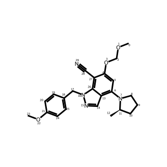 COCOc1cc(N2CCC[C@H]2C)c2cnn(Cc3ccc(OC)cc3)c2c1C#N